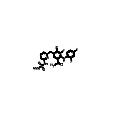 CNS(=O)(=O)Nc1cccc(Cc2cc(C(N)=O)c(Nc3ccc(I)cc3F)c(F)c2F)n1